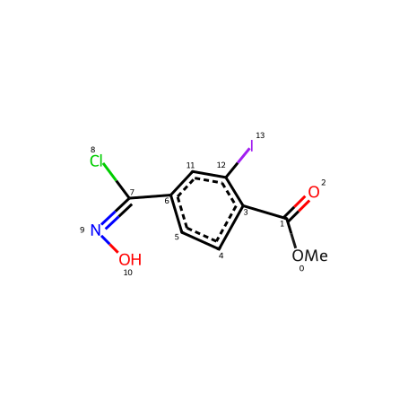 COC(=O)c1ccc(/C(Cl)=N\O)cc1I